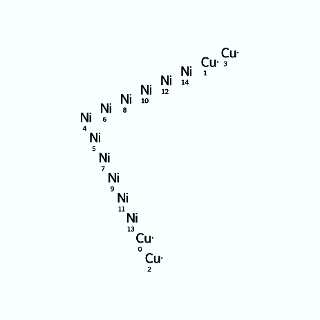 [Cu].[Cu].[Cu].[Cu].[Ni].[Ni].[Ni].[Ni].[Ni].[Ni].[Ni].[Ni].[Ni].[Ni].[Ni]